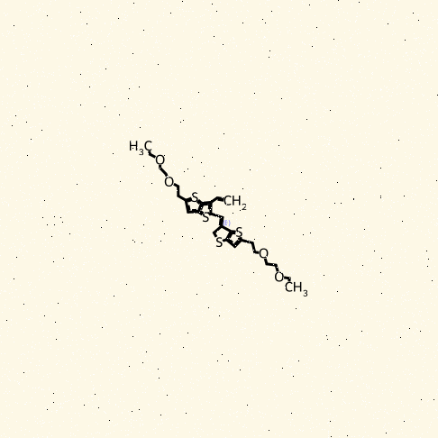 C=Cc1c(/C=C2\CSc3cc(CCOCCOCC)sc32)sc2cc(CCOCCOCC)sc12